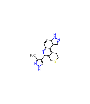 FC(F)(F)c1n[nH]cc1-c1nc2c(c3c1CSCC3)C1C=NNC1C=C2